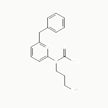 COCCCN(C(N)=S)c1cccc(Cc2ccccc2)n1